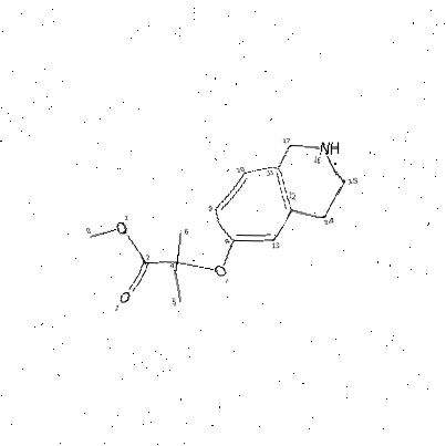 COC(=O)C(C)(C)Oc1ccc2c(c1)CCNC2